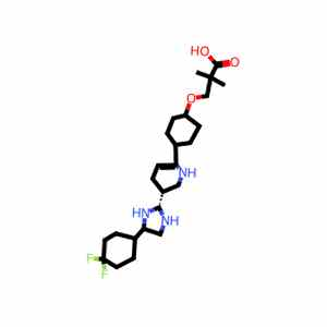 CC(C)(COC1CCC(C2=CCC([C@@H]3NCC(C4CCC(F)(F)CC4)N3)CN2)CC1)C(=O)O